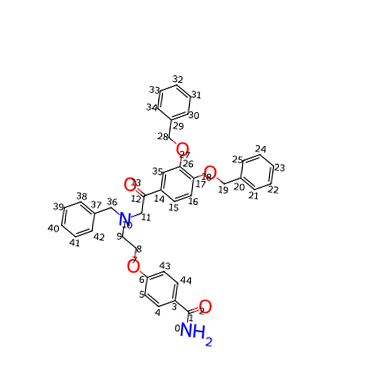 NC(=O)c1ccc(OCCN(CC(=O)c2ccc(OCc3ccccc3)c(OCc3ccccc3)c2)Cc2ccccc2)cc1